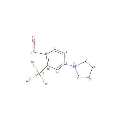 O=Cc1ccc(N2CCCC2)cc1C(F)(F)F